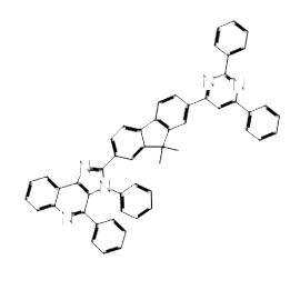 CC1(C)c2cc(-c3cc(-c4ccccc4)nc(-c4ccccc4)n3)ccc2-c2ccc(-c3nc4c5ccccc5nc(-c5ccccc5)c4n3-c3ccccc3)cc21